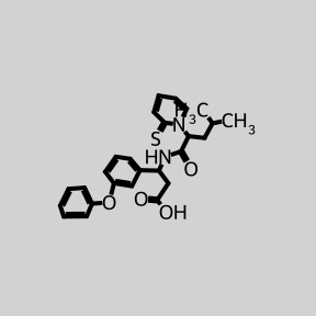 CC(C)CC(C(=O)NC(CC(=O)O)c1cccc(Oc2ccccc2)c1)n1ccccc1=S